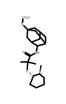 C[C@H]1CCCC[C@@H]1OC(C)(C)C(=O)NC1C2CC3CC1CC(OC(=O)O)(C3)C2